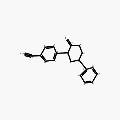 N#Cc1ccc(C2CC(c3ccccc3)CCC2=O)cc1